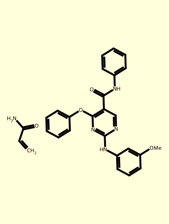 C=CC(N)=O.COc1cccc(Nc2ncc(C(=O)Nc3ccccc3)c(Oc3ccccc3)n2)c1